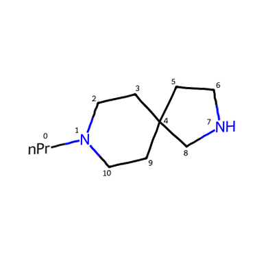 CCCN1CCC2(CCNC2)CC1